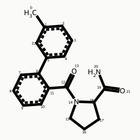 Cc1cccc(-c2ccccc2C(=O)N2CC[CH]C2C(N)=O)c1